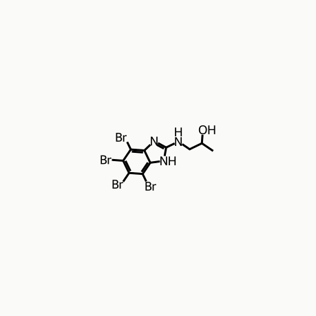 CC(O)CNc1nc2c(Br)c(Br)c(Br)c(Br)c2[nH]1